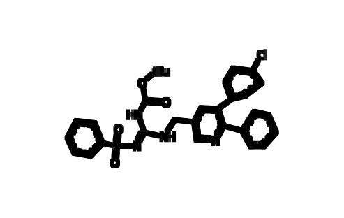 CC(C)(C)OC(=O)N/C(=N\S(=O)(=O)c1ccccc1)NCc1cnc(-c2ccccc2)c(-c2ccc(Cl)cc2)c1